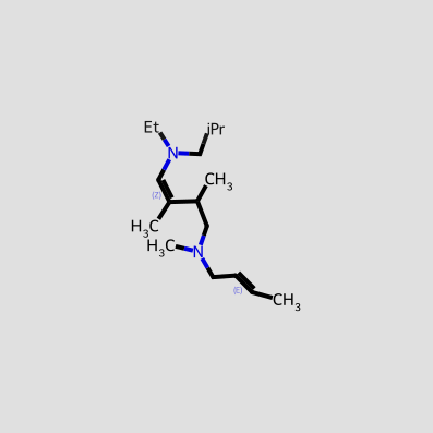 C/C=C/CN(C)CC(C)/C(C)=C\N(CC)CC(C)C